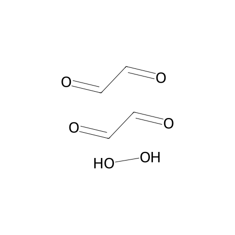 O=CC=O.O=CC=O.OO